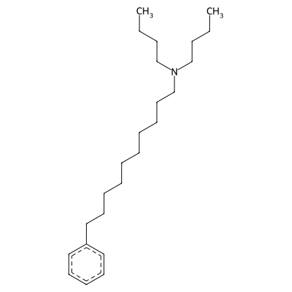 CCCCN(CCCC)CCCCCCCCCCc1ccccc1